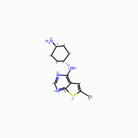 CCc1cc2c(N[C@H]3CC[C@H](N)CC3)ncnc2s1